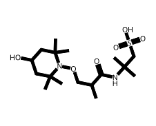 CC(CON1C(C)(C)CC(O)CC1(C)C)C(=O)NC(C)(C)CS(=O)(=O)O